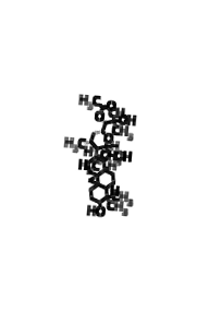 CC(=O)O[C@@H]([C@H]1C[C@@H](C)[C@H]2[C@H](O1)[C@H](O)[C@@]1(C)[C@@H]3CC[C@H]4C(C)(C)[C@@H](O)CCC45C[C@@]35CC[C@]21C)C(C)(C)O